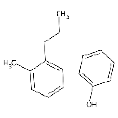 CCCc1ccccc1C.Oc1ccccc1